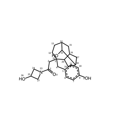 O=C(CC1(Cc2ccc(O)cc2)CCC2CC3CC(CC31)C2O)N1CC(O)C1